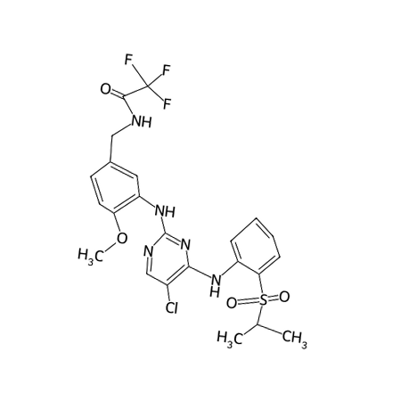 COc1ccc(CNC(=O)C(F)(F)F)cc1Nc1ncc(Cl)c(Nc2ccccc2S(=O)(=O)C(C)C)n1